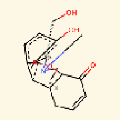 CN1CC[C@@]23CC=CC(=O)C2Oc2c(O)ccc(c23)C[C@@H]1CO